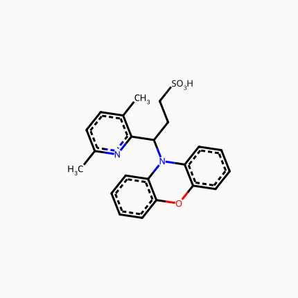 Cc1ccc(C)c(C(CCS(=O)(=O)O)N2c3ccccc3Oc3ccccc32)n1